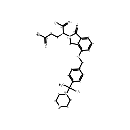 CC(C)(c1ccc(COc2cccc3c2CN([C@@H](CCC(=O)O)C(N)=O)C3=O)cc1)N1CCOCC1